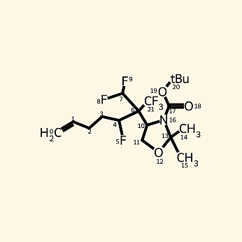 C=CCCC(F)C(C(F)F)(C1COC(C)(C)N1C(=O)OC(C)(C)C)C(F)(F)F